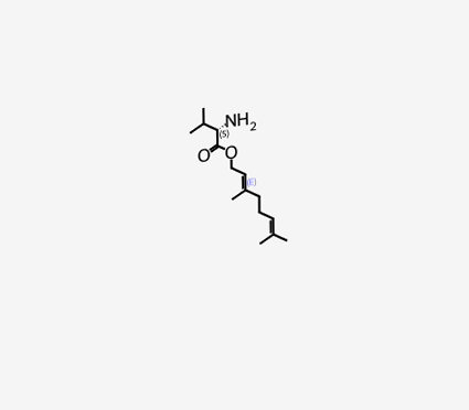 CC(C)=CCC/C(C)=C/COC(=O)[C@@H](N)C(C)C